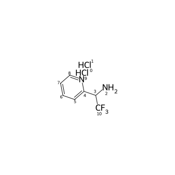 Cl.Cl.NC(c1ccccn1)C(F)(F)F